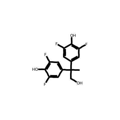 CC(CO)(c1cc(F)c(O)c(F)c1)c1cc(F)c(O)c(F)c1